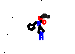 CC(C)(C)OC(=O)N(Cc1ccccc1)C1C2CNCC21